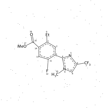 CCc1cc(-c2nc(C(F)(F)F)cn2C)c(F)cc1C(=O)OC